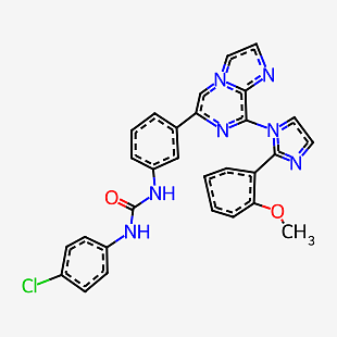 COc1ccccc1-c1nccn1-c1nc(-c2cccc(NC(=O)Nc3ccc(Cl)cc3)c2)cn2ccnc12